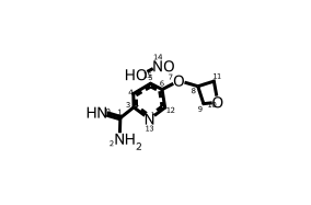 N=C(N)c1ccc(OC2COC2)cn1.O=NO